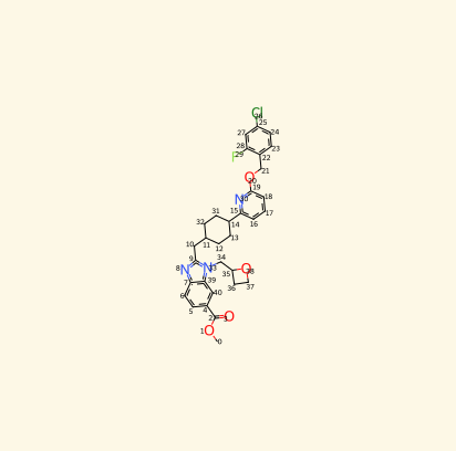 COC(=O)c1ccc2nc(CC3CCC(c4cccc(OCc5ccc(Cl)cc5F)n4)CC3)n(CC3CCO3)c2c1